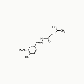 COc1cc(C=NNC(=O)CCC(C)O)ccc1O